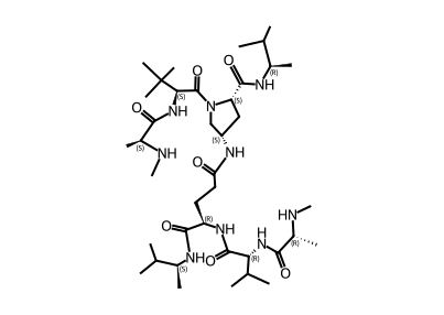 CN[C@@H](C)C(=O)N[C@H](C(=O)N1C[C@@H](NC(=O)CC[C@@H](NC(=O)[C@H](NC(=O)[C@@H](C)NC)C(C)C)C(=O)N[C@@H](C)C(C)C)C[C@H]1C(=O)N[C@H](C)C(C)C)C(C)(C)C